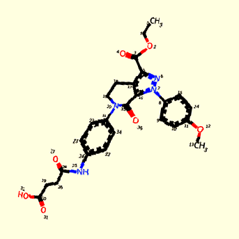 CCOC(=O)c1nn(-c2ccc(OC)cc2)c2c1CCN(c1ccc(NC(=O)CCC(=O)O)cc1)C2=O